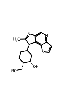 Cc1nc2cnc3ccsc3c2n1[C@@H]1CC[C@@H](CC#N)[C@@H](O)C1